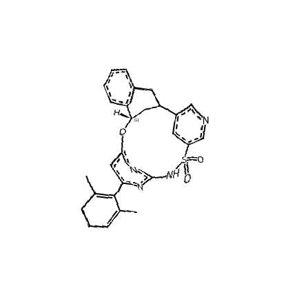 CC1=CCCC(C)=C1c1cc2nc(n1)NS(=O)(=O)c1cncc(c1)C1Cc3ccccc3[C@H](C1)O2